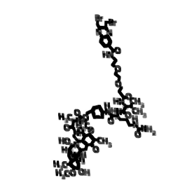 COC1=C(C)C(=O)C2=C(C1=O)[C@H](CNC(=O)[C@H](C)NC(=O)OCc1ccc(NC(=O)[C@H](CCCNC(N)=O)NC(=O)[C@@H](NC(=O)CCOCCOCCNC(=O)c3ccc4nc(CBr)c(CBr)nc4c3)C(C)C)cc1)N1[C@@H](O)[C@@H]3Cc4c(cc(O)c(OC)c4C)[C@@H]([C@@H]1C2)N3C